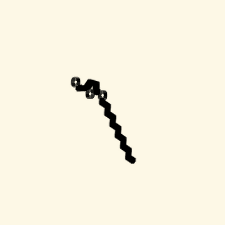 CCCCCCCCCCCCOc1ccc(C=O)o1